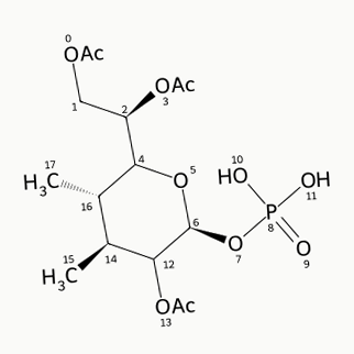 CC(=O)OC[C@@H](OC(C)=O)C1O[C@@H](OP(=O)(O)O)C(OC(C)=O)[C@@H](C)[C@@H]1C